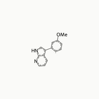 COc1cc[c]c(-c2c[nH]c3ncccc23)c1